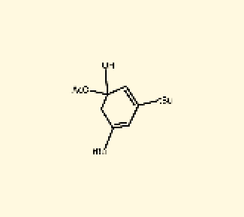 CC(=O)OC1(O)C=C(C(C)(C)C)C=C(C(C)(C)C)C1